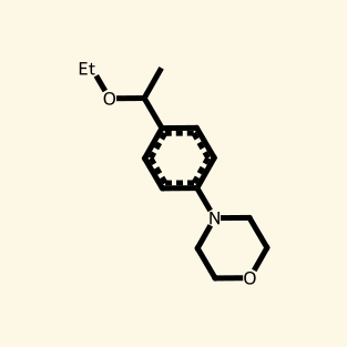 CCOC(C)c1ccc(N2CCOCC2)cc1